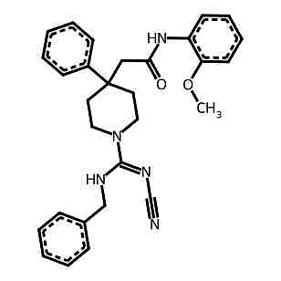 COc1ccccc1NC(=O)CC1(c2ccccc2)CCN(/C(=N/C#N)NCc2ccccc2)CC1